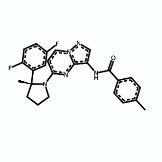 Cc1ccc(C(=O)Nc2cnn3ccc(N4CCC[C@]4(C)c4cc(F)ccc4F)nc23)cc1